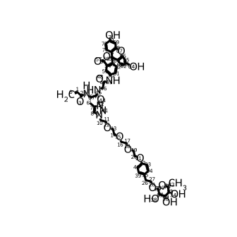 C=CC(=O)N[C@@H](Cc1cn(CCOCCOCCOCCOc2ccc(CCO[C@@H]3O[C@H](C)[C@@H](O)[C@H](O)[C@H]3O)cc2)nn1)C(=O)NCC(=O)Nc1ccc2c(c1)C(=O)OC21c2ccc(O)cc2Oc2cc(O)ccc21